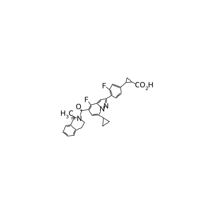 C[C@@H]1c2ccccc2CCN1C(=O)c1cc(C2CC2)n2nc(-c3ccc(C4CC4C(=O)O)cc3F)cc2c1F